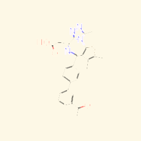 CC(=O)c1cccc(-c2ccc(C3=N[C@@H](CC(=O)O)c4nnc(C)n4-c4sc(C)c(C)c43)cc2)c1